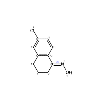 O/N=C1\CCCc2cc(Cl)ccc21